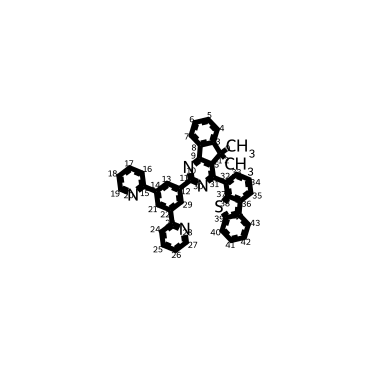 CC1(C)c2ccccc2-c2nc(-c3cc(-c4ccccn4)cc(-c4ccccn4)c3)nc(-c3cccc4c3sc3ccccc34)c21